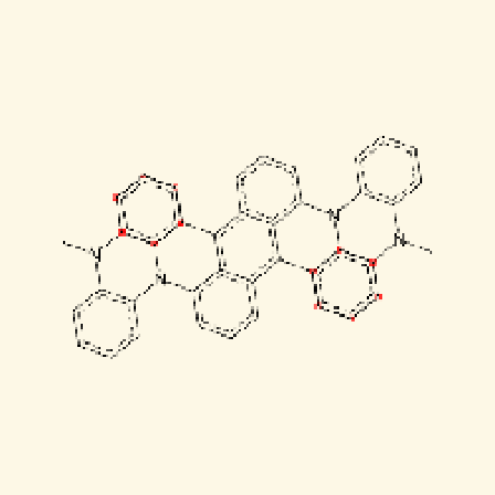 CN1c2ccccc2N(c2cccc3c(-c4ccccc4)c4c(N5c6ccccc6N(C)c6ccccc65)cccc4c(C4=CC=CCC4)c23)c2ccccc21